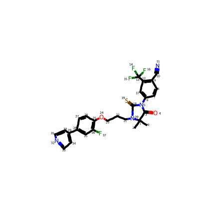 CC1(C)C(=O)N(c2ccc(C#N)c(C(F)(F)F)c2)C(=S)N1CCCOc1ccc(-c2ccncc2)cc1F